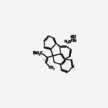 C/C=C(/C(=O)OCC)C1(Cc2ccncc2)c2ccccc2-c2ccccc21.Cl.Cl.O